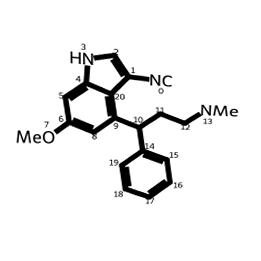 [C-]#[N+]c1c[nH]c2cc(OC)cc(C(CCNC)c3ccccc3)c12